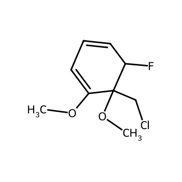 COC1=CC=CC(F)C1(CCl)OC